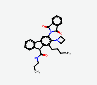 CCCCc1c2c(cc(N3C(=O)c4ccccc4C3=O)c1N1CCC1)-c1ccccc1C2C(=O)NCCC